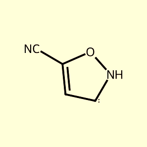 N#CC1=C[C]NO1